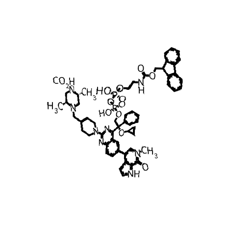 C[C@@H]1CN(CC2CCN(c3nc(C(COP(=O)(O)OP(=O)(O)OCCNC(=O)OCC4c5ccccc5-c5ccccc54)(OC4CC4)c4ccccc4)c4cc(-c5cn(C)c(=O)c6[nH]ccc56)ccc4n3)CC2)[C@@H](C)CN1C(=O)O